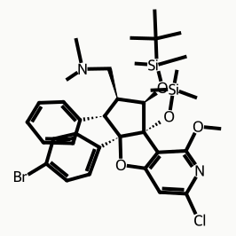 COc1nc(Cl)cc2c1[C@]1(O[Si](C)(C)C)[C@H](O[Si](C)(C)C(C)(C)C)[C@H](CN(C)C)[C@@H](c3ccccc3)[C@]1(c1ccc(Br)cc1)O2